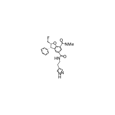 CNC(=O)c1cc(C(=O)NCCc2cn[nH]c2)cc2c1O[C@H](CF)[C@H]2c1ccccc1